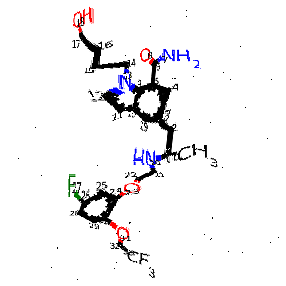 C[C@H](Cc1cc(C(N)=O)c2c(ccn2CCCCO)c1)NCCOc1cc(F)ccc1OCC(F)(F)F